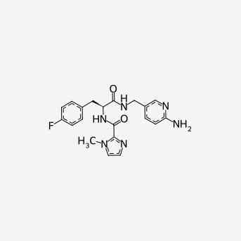 Cn1ccnc1C(=O)N[C@@H](Cc1ccc(F)cc1)C(=O)NCc1ccc(N)nc1